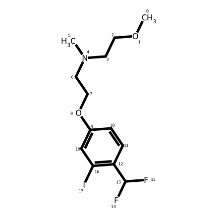 COCCN(C)CCOc1ccc(C(F)F)c(I)c1